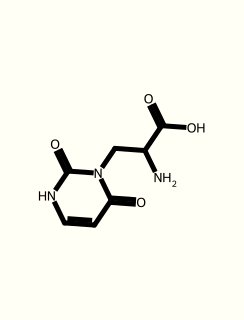 NC(Cn1c(=O)cc[nH]c1=O)C(=O)O